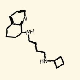 c1cnc2c(c1)CCC[C@@H]2NCCCCNC1CCC1